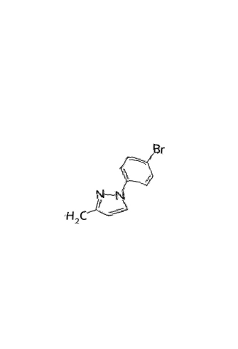 [CH2]c1ccn(-c2ccc(Br)cc2)n1